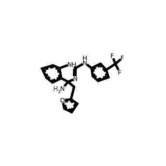 NC1(Cc2ccco2)N=C(Nc2cccc(C(F)(F)F)c2)Nc2ccccc21